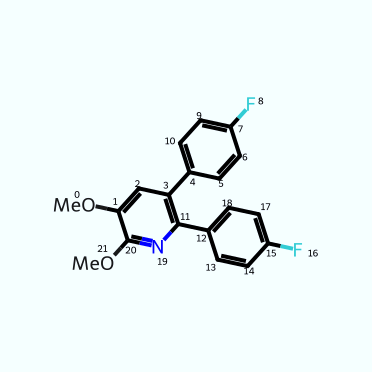 COc1cc(-c2ccc(F)cc2)c(-c2ccc(F)cc2)nc1OC